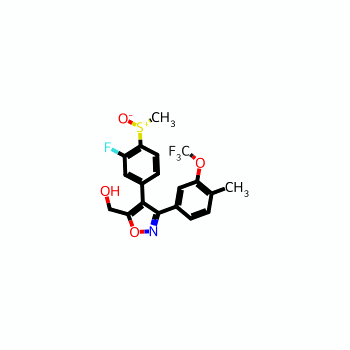 Cc1ccc(-c2noc(CO)c2-c2ccc([S+](C)[O-])c(F)c2)cc1OC(F)(F)F